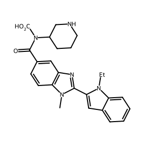 CCn1c(-c2nc3cc(C(=O)N(C(=O)O)C4CCCNC4)ccc3n2C)cc2ccccc21